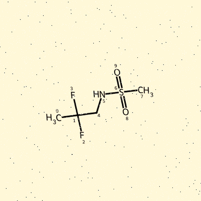 CC(F)(F)CNS(C)(=O)=O